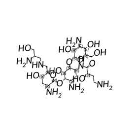 NCC[C@H](O)C(=O)N[C@@H]1C[C@H](N)C(O[C@H]2O[C@H](CNCC(N)CO)[C@@H](O)C[C@H]2N)[C@H](O)[C@H]1O[C@H]1O[C@H](CO)[C@@H](O)[C@H](N)[C@H]1O